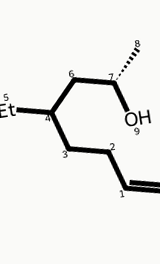 C=CCCC(CC)C[C@H](C)O